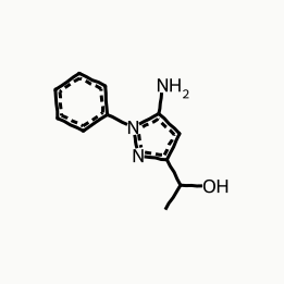 CC(O)c1cc(N)n(-c2ccccc2)n1